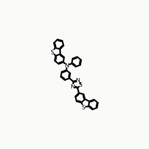 c1ccc(N(c2cccc(-c3nsc(-c4ccc5sc6ccccc6c5c4)n3)c2)c2ccc3sc4ccccc4c3c2)cc1